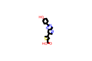 O=C(O)c1cc(-c2cnc3cnc(-c4ccc(O)cc4)nc3c2)cs1